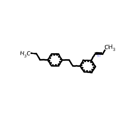 C/C=C/c1cccc(CCc2ccc(CCC)cc2)c1